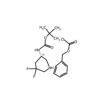 CC(C)(C)OC(=O)N[C@@H]1CNCC(F)(F)C1.O=C(Cl)OCc1ccccc1